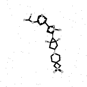 CC(C)n1nc(-c2cncc(OC(F)F)c2)cc1[C@H]1[C@@H]2C[C@H](N3CCC4(CC3)CS(=O)(=O)C4)C[C@@H]21